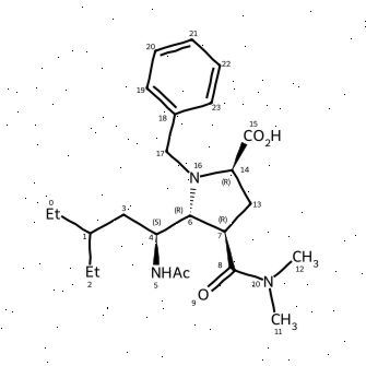 CCC(CC)C[C@H](NC(C)=O)[C@H]1[C@H](C(=O)N(C)C)C[C@H](C(=O)O)N1Cc1ccccc1